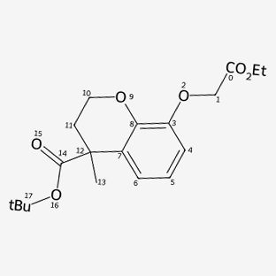 CCOC(=O)COc1cccc2c1OCCC2(C)C(=O)OC(C)(C)C